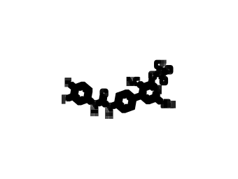 CC(C)(C)c1cc(-c2ccc(NC(=O)Nc3ccc(F)c(F)c3)cc2)c(C#N)c(OS(=O)(=O)C(F)(F)F)n1